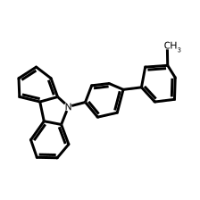 Cc1cccc(-c2ccc(-n3c4ccccc4c4ccccc43)cc2)c1